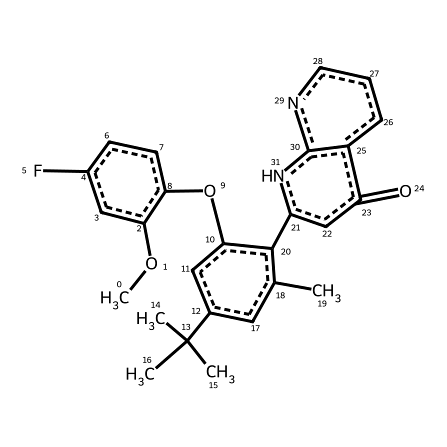 COc1cc(F)ccc1Oc1cc(C(C)(C)C)cc(C)c1-c1cc(=O)c2cccnc2[nH]1